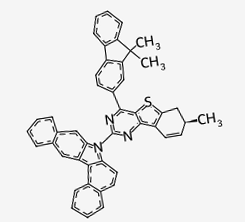 C[C@H]1C=Cc2c(sc3c(-c4ccc5c(c4)C(C)(C)c4ccccc4-5)nc(-n4c5cc6ccccc6cc5c5c6ccccc6ccc54)nc23)C1